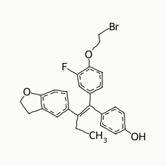 CCC(=C(c1ccc(O)cc1)c1ccc(OCCBr)c(F)c1)c1ccc2c(c1)CCO2